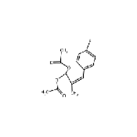 CC(=O)OC(OC(C)=O)C(C)=Cc1ccc(F)cc1